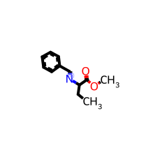 CCC(/N=C/c1ccccc1)C(=O)OC